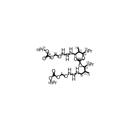 CCCOC(=O)OCONNNCC(C)C(CCC)OC(=O)OC(CCC)C(C)CNNNOCOC(=O)OCCC